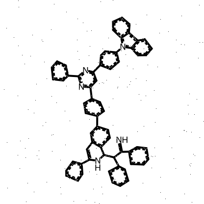 N=C(c1ccccc1)C(c1ccccc1)C1NC(c2ccccc2)=Cc2cc(-c3ccc(-c4cc(-c5ccc(-n6c7ccccc7c7ccccc76)cc5)nc(-c5ccccc5)n4)cc3)ccc21